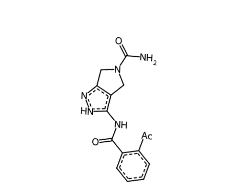 CC(=O)c1ccccc1C(=O)Nc1[nH]nc2c1CN(C(N)=O)C2